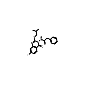 CC(C)CSc1nc2cc(F)ccc2c(=O)n1NC(=O)Cc1ccccc1